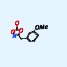 COc1cccc(Cc2noc(=O)o2)c1